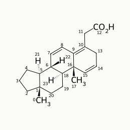 C[C@@]12CCC[C@H]1[C@@H]1C=CC3=C(CC(=O)O)CC=C[C@]3(C)[C@H]1CC2